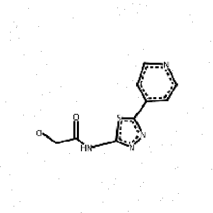 O=C(CCl)Nc1nnc(-c2ccncc2)s1